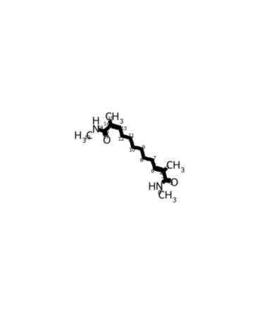 CNC(=O)C(C)=CCCCCCCC=C(C)C(=O)NC